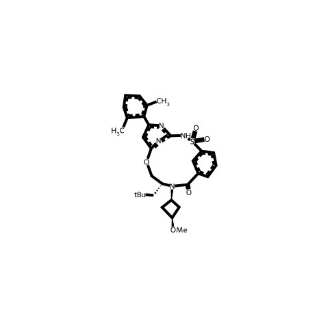 CO[C@H]1C[C@@H](N2C(=O)c3cccc(c3)S(=O)(=O)Nc3nc(cc(-c4c(C)cccc4C)n3)OC[C@H]2CC(C)(C)C)C1